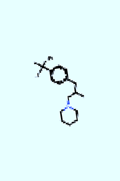 CCCC(C)(CC)c1ccc(CC(C)CN2CCCCC2)cc1